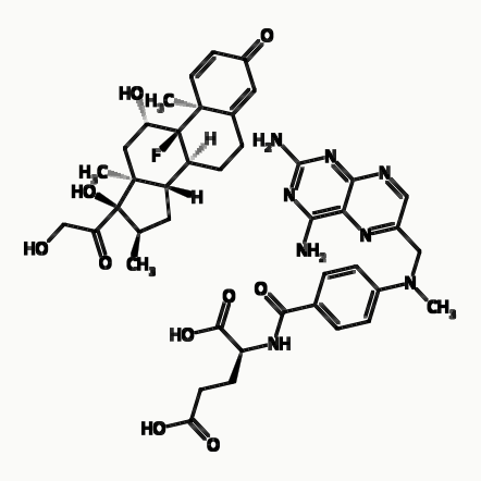 CN(Cc1cnc2nc(N)nc(N)c2n1)c1ccc(C(=O)N[C@@H](CCC(=O)O)C(=O)O)cc1.C[C@@H]1C[C@H]2[C@@H]3CCC4=CC(=O)C=C[C@]4(C)[C@@]3(F)[C@@H](O)C[C@]2(C)[C@@]1(O)C(=O)CO